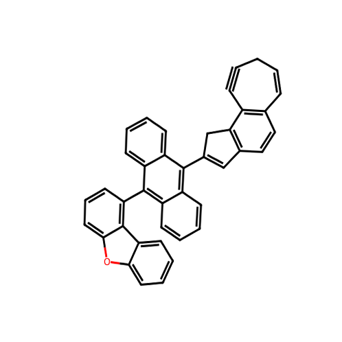 C1#Cc2c(ccc3c2CC(c2c4ccccc4c(-c4cccc5oc6ccccc6c45)c4ccccc24)=C3)C=CC1